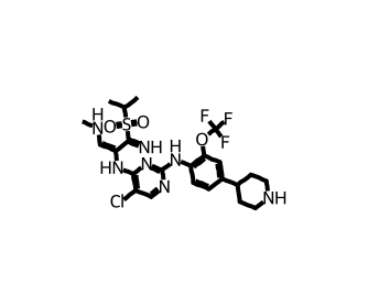 CN/C=C(/Nc1nc(Nc2ccc(C3CCNCC3)cc2OC(F)(F)F)ncc1Cl)C(=N)S(=O)(=O)C(C)C